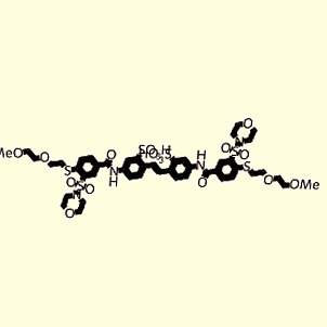 COCCOCCSc1ccc(C(=O)Nc2ccc(C=Cc3ccc(NC(=O)c4ccc(SCCOCCOC)c(S(=O)(=O)N5CCOCC5)c4)cc3S(=O)(=O)O)c(S(=O)(=O)O)c2)cc1S(=O)(=O)N1CCOCC1